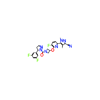 Cc1c(C#N)nn(C)c1-c1ccc(F)c(OC2CN(C(=O)N3N=CCC3c3cc(F)cc(F)c3)C2)n1